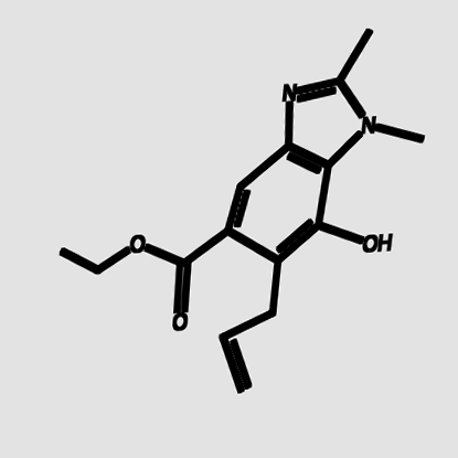 C=CCc1c(C(=O)OCC)cc2nc(C)n(C)c2c1O